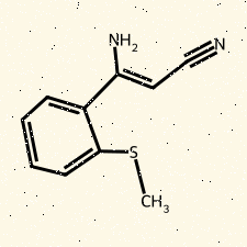 CSc1ccccc1C(N)=CC#N